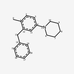 Cc1ccc(N2CCCCC2)cc1Cc1ccccc1